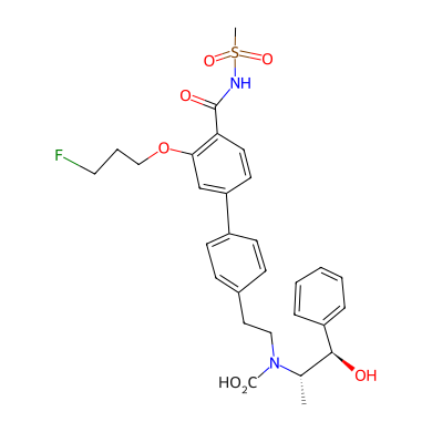 C[C@@H]([C@H](O)c1ccccc1)N(CCc1ccc(-c2ccc(C(=O)NS(C)(=O)=O)c(OCCCF)c2)cc1)C(=O)O